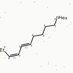 [CH2]CCCCCCCCC/C=C/C=C\CC